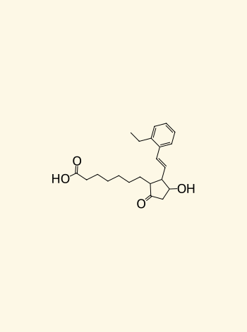 CCc1ccccc1C=CC1C(O)CC(=O)C1CCCCCCC(=O)O